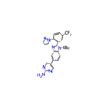 CC(C)(C)n1c(-c2cc(C(F)(F)F)ccc2-n2cccn2)nc2cc(-c3cnc(N)nc3)ccc21